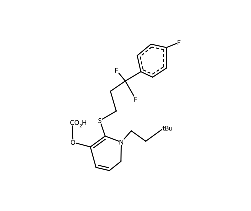 CC(C)(C)CCN1CC=CC(OC(=O)O)=C1SCCC(F)(F)c1ccc(F)cc1